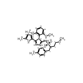 COCCC(Cc1ncc(C)cn1)S(=O)(=O)Nc1nnc(-c2ccc(C)o2)n1-c1c(OC)cccc1OC